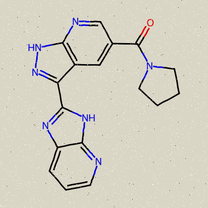 O=C(c1cnc2[nH]nc(-c3nc4cccnc4[nH]3)c2c1)N1CCCC1